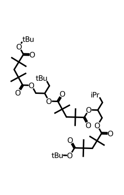 CC(C)CC(COC(=O)C(C)(C)CC(C)(C)C(=O)OC(C)(C)C)OC(=O)C(C)(C)CC(C)(C)C(=O)OC(COC(=O)C(C)(C)CC(C)(C)C(=O)OC(C)(C)C)CC(C)(C)C